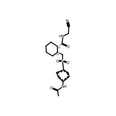 CC(=O)Nc1ccc(S(=O)(=O)C[C@H]2CCCC[C@@H]2C(=O)NCC#N)cc1